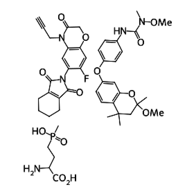 C#CCN1C(=O)COc2cc(F)c(N3C(=O)C4=C(CCCC4)C3=O)cc21.CON(C)C(=O)Nc1ccc(Oc2ccc3c(c2)OC(C)(OC)CC3(C)C)cc1.CP(=O)(O)CCC(N)C(=O)O